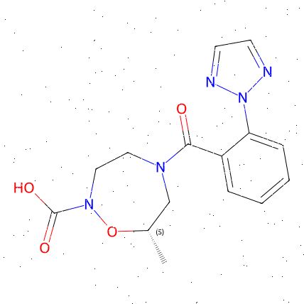 C[C@H]1CN(C(=O)c2ccccc2-n2nccn2)CCN(C(=O)O)O1